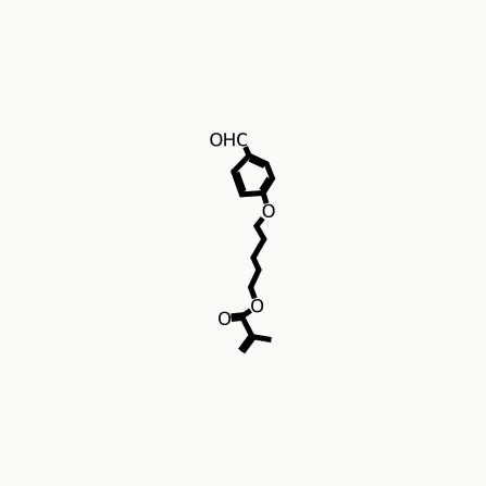 C=C(C)C(=O)OCCCCCOc1ccc(C=O)cc1